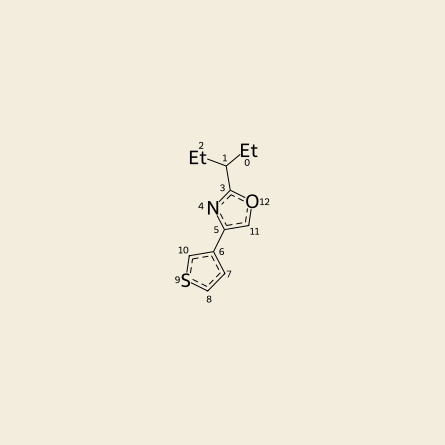 CCC(CC)c1nc(-c2ccsc2)co1